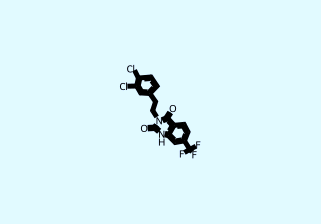 O=c1[nH]c2cc(C(F)(F)F)ccc2c(=O)n1CCc1ccc(Cl)c(Cl)c1